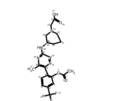 CC(=O)Oc1cc(C(F)(F)F)ccc1-c1nnc(N[C@@H]2CCCN(CC(=O)O)C2)nc1C